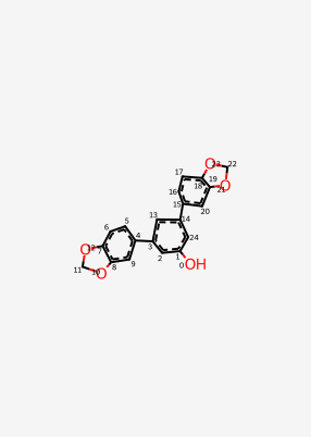 Oc1cc(-c2ccc3c(c2)OCO3)cc(-c2ccc3c(c2)OCO3)c1